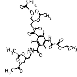 CCOC(=O)C(=O)Nc1c(I)c(C(=O)NCC(COC(C)=O)OC(C)=O)c(I)c(C(=O)N(Cl)CC(COC(C)=O)OC(C)=O)c1I